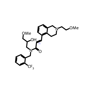 COCCN1CCc2c(/C=C/C(=O)N(Cc3ccccc3C(F)(F)F)CC(O)COC)cccc2C1